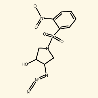 [N-]=[N+]=NC1CN(S(=O)(=O)c2ccccc2[N+](=O)[O-])CC1O